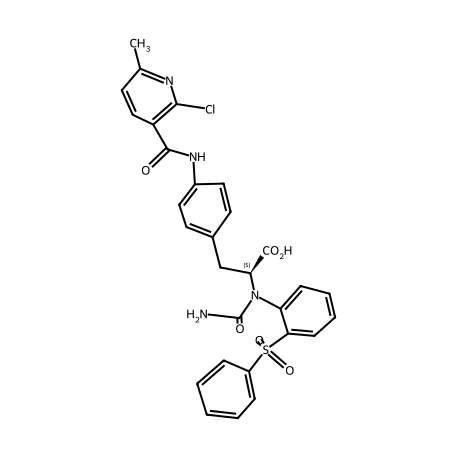 Cc1ccc(C(=O)Nc2ccc(C[C@@H](C(=O)O)N(C(N)=O)c3ccccc3S(=O)(=O)c3ccccc3)cc2)c(Cl)n1